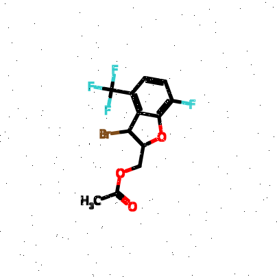 CC(=O)OCC1Oc2c(F)ccc(C(F)(F)F)c2C1Br